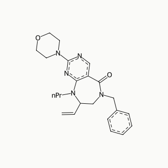 C=CC1CN(Cc2ccccc2)C(=O)c2cnc(N3CCOCC3)nc2N1CCC